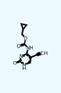 C#Cc1c[nH]c(=O)nc1NC(=O)OCC1CC1